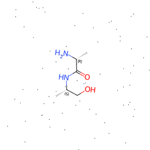 C[C@@H](CO)NC(=O)[C@@H](C)N